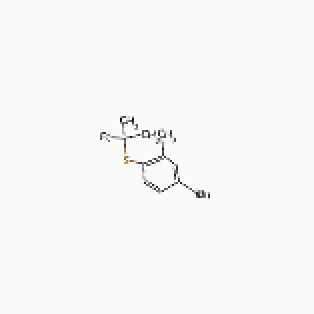 CCC(C)c1ccc(SC(C)(C)CC)c(C)c1